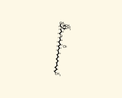 CCCCCCCCCCCCCCCCCCOCCC[N+](CC)(CC)CC.[Cl-]